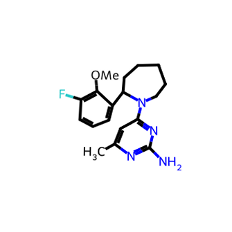 COc1c(F)cccc1C1CCCCCN1c1cc(C)nc(N)n1